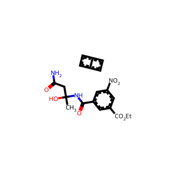 CCOC(=O)c1cc(C(=O)NC(C)(O)CC(N)=O)cc([N+](=O)[O-])c1.c1cc2ccc1-2